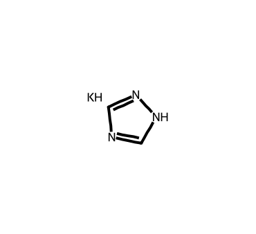 [KH].c1nc[nH]n1